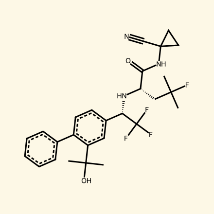 CC(C)(F)C[C@H](N[C@@H](c1ccc(-c2ccccc2)c(C(C)(C)O)c1)C(F)(F)F)C(=O)NC1(C#N)CC1